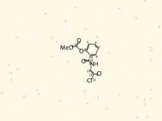 COC(=O)Oc1ccccc1C(=O)NC=C(Cl)Cl